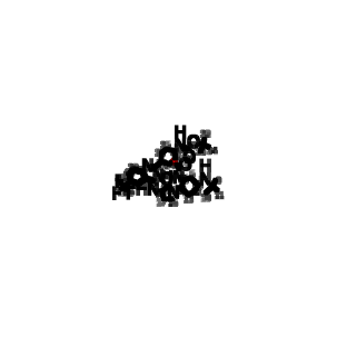 CC(=O)N[C@@H]1C[C@H](NC(C)(C)C)CC[C@@H]1N1CC[C@H](Nc2nc(C3CCC(NC(=O)OC(C)(C)C)CC3)nc3ccc(C(F)(F)F)cc23)C1=O